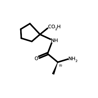 C[C@H](N)C(=O)NC1(C(=O)O)CCCC1